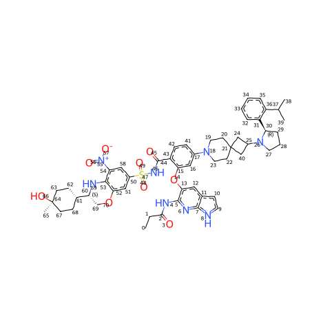 CCC(=O)Nc1nc2[nH]ccc2cc1Oc1cc(N2CCC3(CC2)CC(N2CCC[C@@H]2c2ccccc2C(C)C)C3)ccc1C(=O)NS(=O)(=O)c1cc2c(c([N+](=O)[O-])c1)N[C@@H]([C@H]1CC[C@](C)(O)CC1)CO2